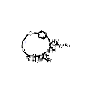 CC(C)C[C@@H]1NC(=O)[C@@H](NC(=O)OC(C)(C)C)Cc2ccc(cc2)OC/C=C/COC[C@@H](C(=O)O)NC1=O